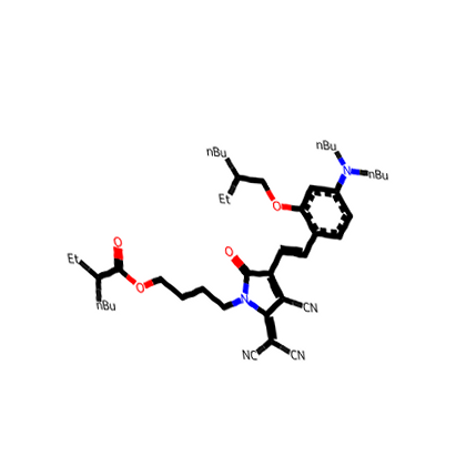 CCCCC(CC)COc1cc(N(CCCC)CCCC)ccc1/C=C/C1=C(C#N)C(=C(C#N)C#N)N(CCCCOC(=O)C(CC)CCCC)C1=O